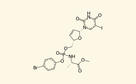 COC(=O)[C@H](C)NP(=O)(OC[C@@H]1C=C[C@H](n2cc(I)c(=O)[nH]c2=O)O1)Oc1ccc(Br)cc1